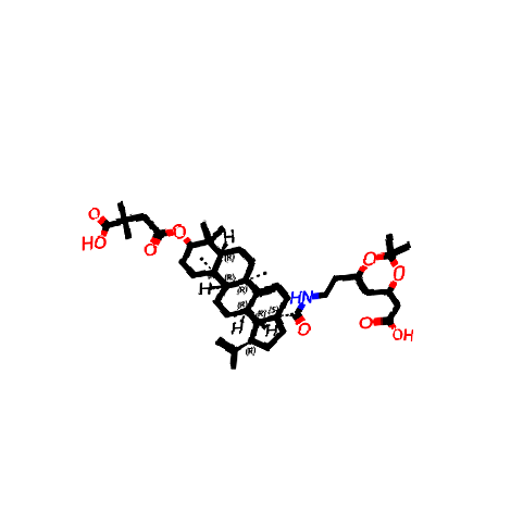 C=C(C)[C@@H]1CC[C@]2(C(=O)NCCC3CC(CC(=O)O)OC(C)(C)O3)CC=C3[C@H](CC[C@@H]4[C@@]5(C)CCC(OC(=O)CC(C)(C)C(=O)O)C(C)(C)[C@@H]5CC[C@@]34C)[C@@H]12